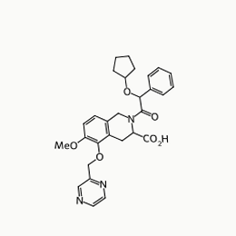 COc1ccc2c(c1OCc1cnccn1)CC(C(=O)O)N(C(=O)C(OC1CCCC1)c1ccccc1)C2